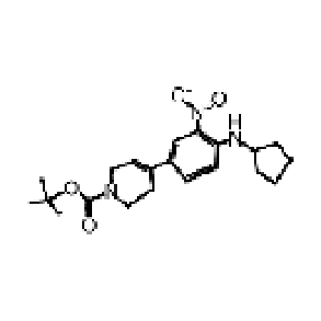 CC(C)(C)OC(=O)N1CC=C(c2ccc(NC3CCCC3)c([N+](=O)[O-])c2)CC1